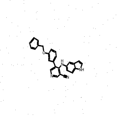 N#Cc1cncc(-c2cccc(OCc3ccccc3)c2)c1Nc1ccc2[nH]ccc2c1